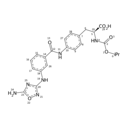 CC(C)OC(=O)N[C@@H](Cc1ccc(NC(=O)c2cccc(Nc3noc(N)n3)c2)cc1)C(=O)O